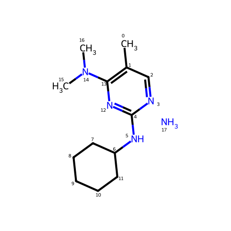 Cc1cnc(NC2CCCCC2)nc1N(C)C.N